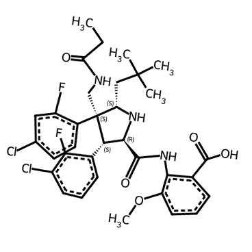 CCC(=O)NC[C@]1(c2ccc(Cl)cc2F)[C@H](CC(C)(C)C)N[C@@H](C(=O)Nc2c(OC)cccc2C(=O)O)[C@@H]1c1cccc(Cl)c1F